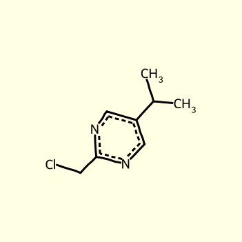 CC(C)c1cnc(CCl)nc1